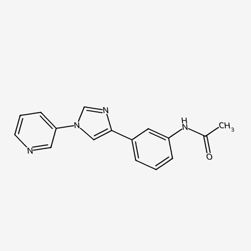 CC(=O)Nc1cccc(-c2cn(-c3cccnc3)cn2)c1